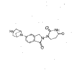 O=C1CCN(N2Cc3cc(N4C5CNCC4C5)ccc3C2=O)C(=O)N1